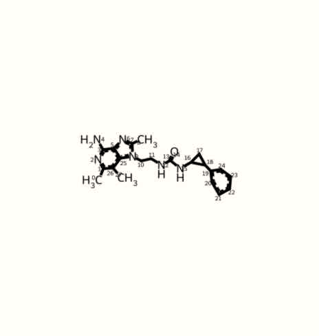 Cc1nc(N)c2nc(C)n(CCNC(=O)NC3CC3c3ccccc3)c2c1C